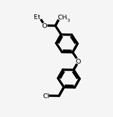 CCOC(C)c1ccc(Oc2ccc(CCl)cc2)cc1